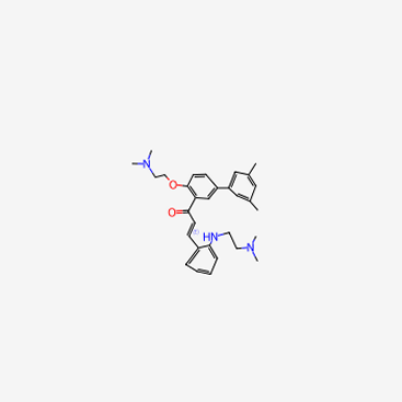 Cc1cc(C)cc(-c2ccc(OCCN(C)C)c(C(=O)/C=C/c3ccccc3NCCN(C)C)c2)c1